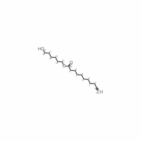 C#CCCCCCCCCC(=O)OCCCCCCO